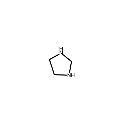 [C]1NCCN1